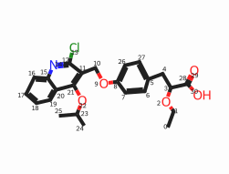 CCOC(Cc1ccc(OCc2c(Cl)nc3ccccc3c2OC(C)C)cc1)C(=O)O